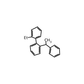 CCc1ccccc1-c1ccccc1C(C)c1ccccc1